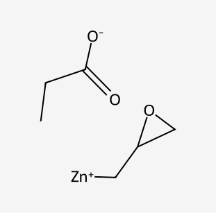 CCC(=O)[O-].[Zn+][CH2]C1CO1